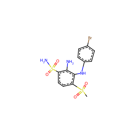 CS(=O)(=O)c1ccc(S(N)(=O)=O)c(N)c1Nc1ccc(Br)cc1